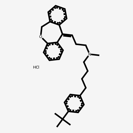 CN(CCC=C1c2ccccc2COc2ccccc21)CCCCc1ccc(C(C)(C)C)cc1.Cl